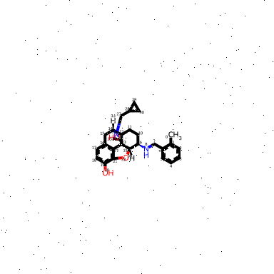 Cc1ccccc1CN[C@@H]1CC[C@@]2(O)[C@H]3Cc4ccc(O)c5c4[C@@]2(CCN3CC2CC2)[C@H]1O5